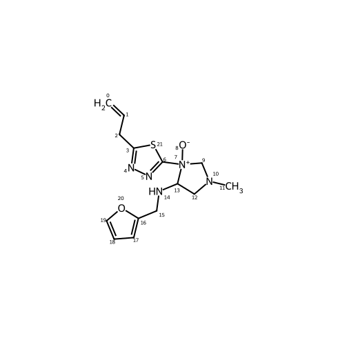 C=CCc1nnc([N+]2([O-])CN(C)CC2NCc2ccco2)s1